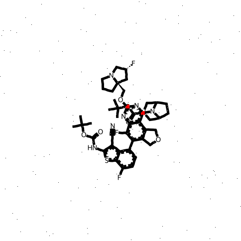 CC(C)(C)OC(=O)Nc1sc2c(F)ccc(-c3c4c(c5c(N6C7CCC6CN(C(=O)OC(C)(C)C)C7)nc(OC[C@@]67CCCN6C[C@H](F)C7)nc5c3F)COC4)c2c1C#N